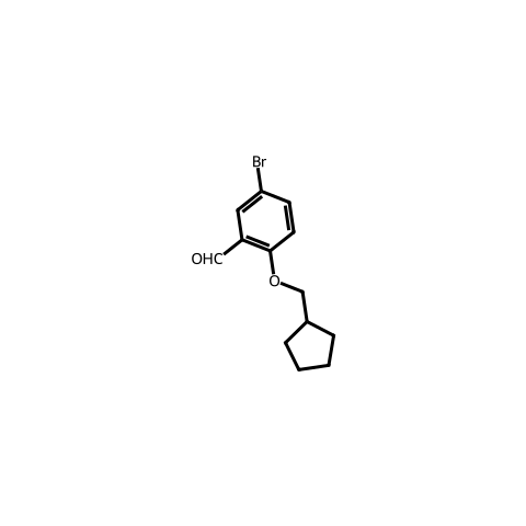 O=Cc1cc(Br)ccc1OCC1CCCC1